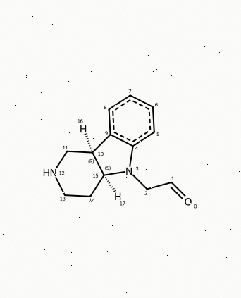 O=CCN1c2ccccc2[C@@H]2CNCC[C@@H]21